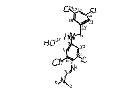 CN(C)C=Nc1c(Cl)cc(NCc2cc(Cl)cc(Cl)c2)cc1Cl.Cl